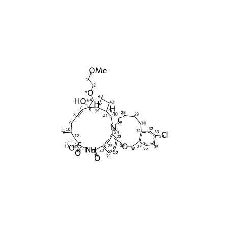 COCCOC[C@]1(O)/C=C/C[C@H](C)[C@@H](C)S(=O)(=O)NC(=O)c2ccc3c(c2)N(CCCCc2cc(Cl)ccc2CO3)C[C@@H]2CC[C@H]21